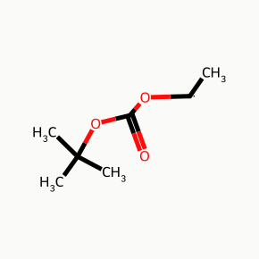 C[CH]OC(=O)OC(C)(C)C